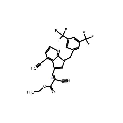 C#Cc1ccnc2c1c(/C=C(\C#N)C(=O)OCC)cn2Cc1cc(C(F)(F)F)cc(C(F)(F)F)c1